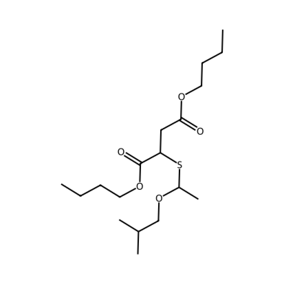 CCCCOC(=O)CC(SC(C)OCC(C)C)C(=O)OCCCC